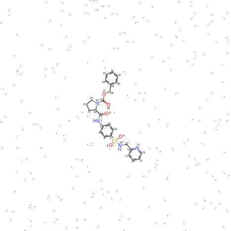 O=C(Nc1ccc(S(=O)(=O)NCc2ccccn2)cc1)C1CCCN1C(=O)OCc1ccccc1